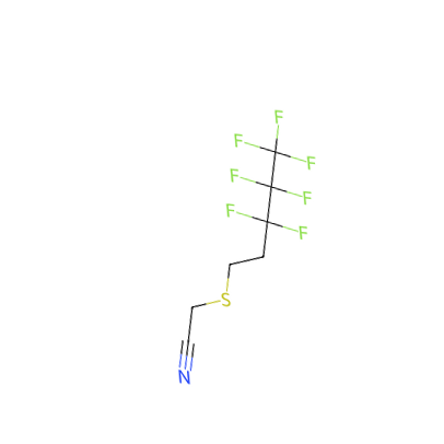 N#CCSCCC(F)(F)C(F)(F)C(F)(F)F